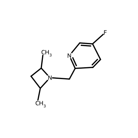 CC1CC(C)N1Cc1ccc(F)cn1